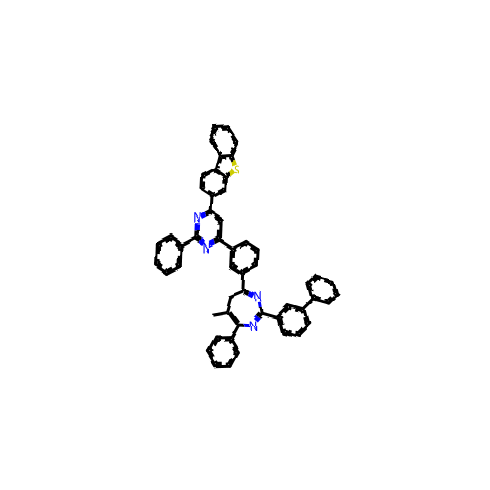 CC1=C(c2ccccc2)N=C(c2cccc(-c3ccccc3)c2)N=C(c2cccc(-c3cc(-c4ccc5c(c4)sc4ccccc45)nc(-c4ccccc4)n3)c2)C1